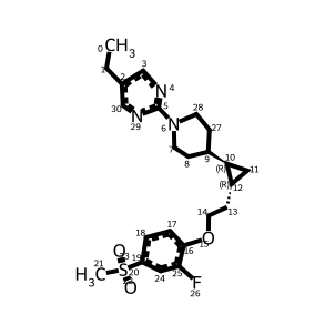 CCc1cnc(N2CCC([C@H]3C[C@@H]3CCOc3ccc(S(C)(=O)=O)cc3F)CC2)nc1